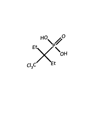 CCC(CC)(C(Cl)(Cl)Cl)P(=O)(O)O